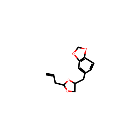 C=CCC1OCC(Cc2ccc3c(c2)OCO3)O1